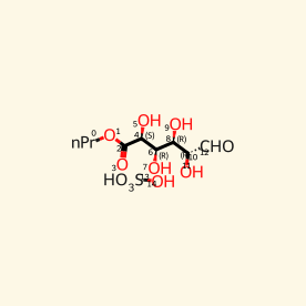 CCCOC(=O)[C@@H](O)[C@H](O)[C@@H](O)[C@@H](O)C=O.O=S(=O)(O)O